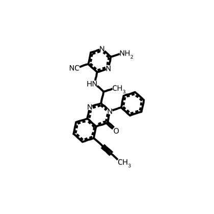 CC#Cc1cccc2nc(C(C)Nc3nc(N)ncc3C#N)n(-c3ccccc3)c(=O)c12